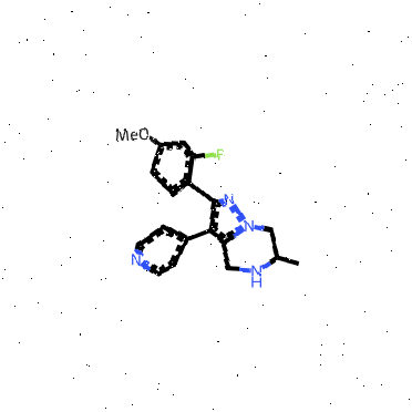 COc1ccc(-c2nn3c(c2-c2ccncc2)CNC(C)C3)c(F)c1